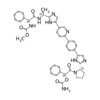 COC(=O)N[C@@H](C(=O)N[C@@H](C)c1ncc(-c2ccc(-c3ccc(-c4cnc([C@@H]5CCCN5C(=O)[C@H](OC(N)=O)c5ccccc5)[nH]4)cc3)nc2)[nH]1)c1ccccc1